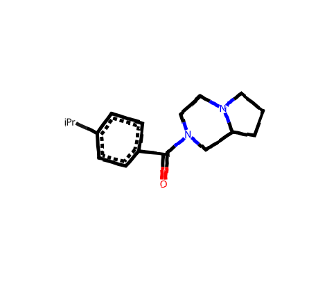 CC(C)c1ccc(C(=O)N2CCN3CCCC3C2)cc1